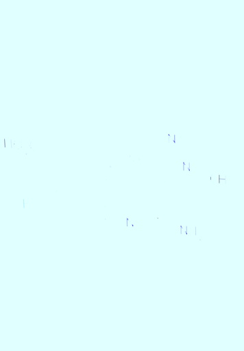 Cn1ncc2c3cc(C(=O)O)c(F)cc3nc(N)c21